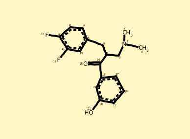 CN(C)CC(Cc1ccc(F)c(F)c1)C(=O)c1cccc(O)c1